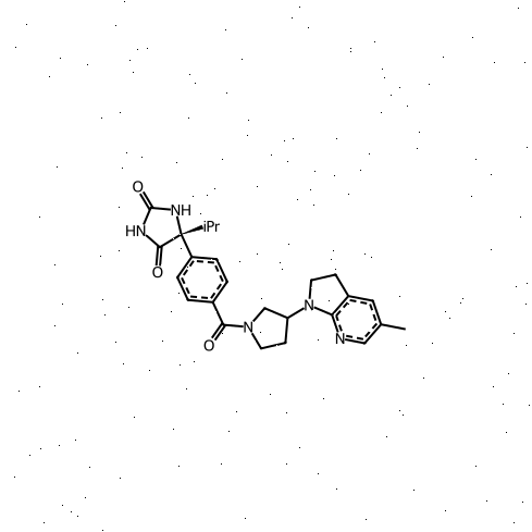 Cc1cnc2c(c1)CCN2C1CCN(C(=O)c2ccc([C@@]3(C(C)C)NC(=O)NC3=O)cc2)C1